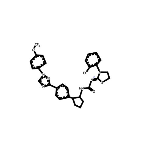 CCc1ccccc1N1CCS/C1=N\C(=O)NC1CCCC1c1ccc(-c2ncn(-c3ccc(OC(F)(F)F)cc3)n2)cc1